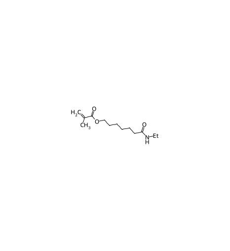 C=C(C)C(=O)OCCCCCCC(=O)NCC